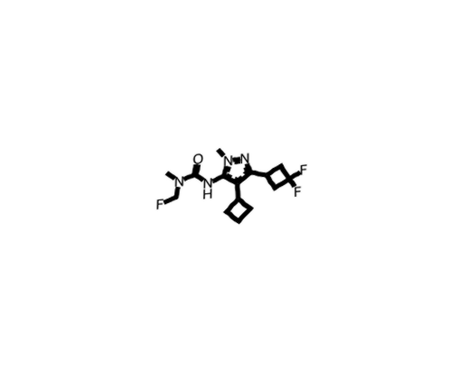 CN(CF)C(=O)Nc1c(C2CCC2)c(C2CC(F)(F)C2)nn1C